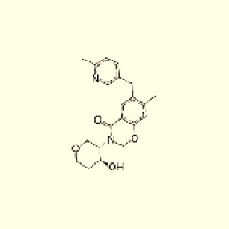 Cc1ccc(Cc2cc3c(cc2C)OCN([C@H]2COCC[C@@H]2O)C3=O)cn1